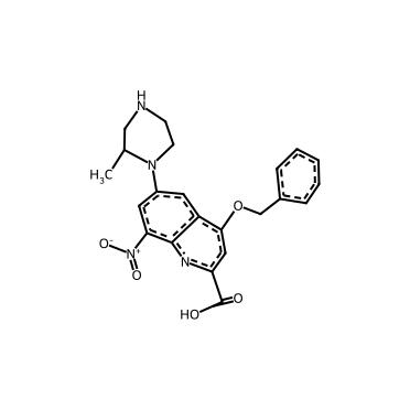 CC1CNCCN1c1cc([N+](=O)[O-])c2nc(C(=O)O)cc(OCc3ccccc3)c2c1